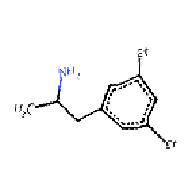 CCc1cc(CC)cc(CC(C)N)c1